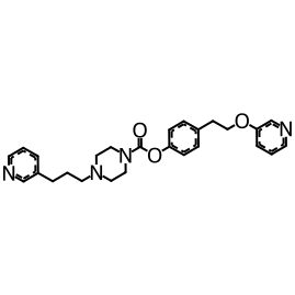 O=C(Oc1ccc(CCOc2cccnc2)cc1)N1CCN(CCCc2cccnc2)CC1